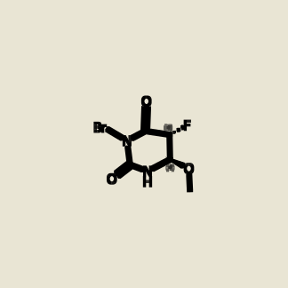 CO[C@H]1NC(=O)N(Br)C(=O)[C@@H]1F